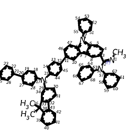 C/N=C(\c1ccc2c(c1)c1cc(-c3ccc(N(c4ccc(-c5ccccc5)cc4)c4ccc5c(c4)C(C)(C)c4ccccc4-5)cc3)ccc1n2-c1ccccc1)N(c1ccccc1)c1ccccc1